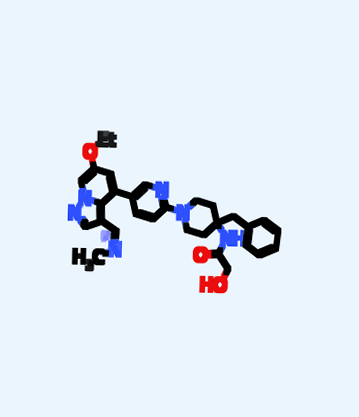 CCOc1cc(-c2ccc(N3CCC(Cc4ccccc4)(NC(=O)CO)CC3)nc2)c2c(/C=N\C)cnn2c1